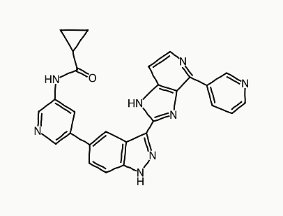 O=C(Nc1cncc(-c2ccc3[nH]nc(-c4nc5c(-c6cccnc6)nccc5[nH]4)c3c2)c1)C1CC1